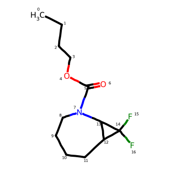 CCCCOC(=O)N1CCCCC2C1C2(F)F